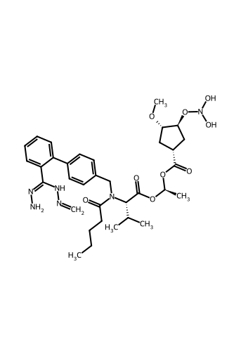 C=NN/C(=N\N)c1ccccc1-c1ccc(CN(C(=O)CCCC)[C@H](C(=O)O[C@H](C)OC(=O)[C@@H]2C[C@H](OC)[C@@H](ON(O)O)C2)C(C)C)cc1